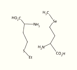 CCSCCC(N)C(=O)O.C[Se]CCC(N)C(=O)O